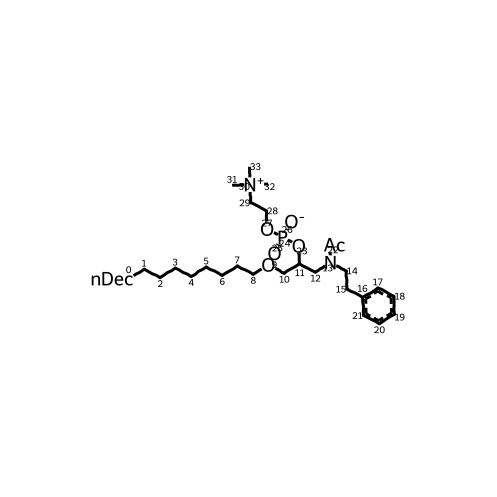 CCCCCCCCCCCCCCCCCCOCC(CN(CCc1ccccc1)C(C)=O)OP(=O)([O-])OCC[N+](C)(C)C